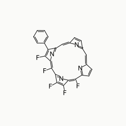 FC1=C(F)C2=C(F)C3=NC(=CC4=NC(=CC5=NC(=C(F)C1=N2)C(F)=C5c1ccccc1)C=C4)C=C3